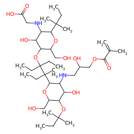 C=C(C)C(=O)OCC(O)CNC1C(O)C(OC(C)(C)CC)C(CO)OC1C(C)(CC)C(CC)(CC)OC1C(CO)OC(C(C)(C)CC)C(NCC(=O)O)C1O